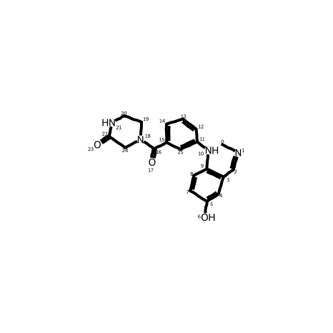 C/N=C\c1cc(O)ccc1Nc1cccc(C(=O)N2CCNC(=O)C2)c1